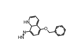 N=NC1=CC=C(OCc2ccccc2)C2=CC=CNC12